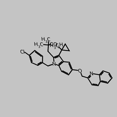 CC(C)(Cc1c(C2(C)CC2)c2cc(OCc3ccc4ccccc4n3)ccc2n1Cc1ccc(Cl)cc1)C(=O)O